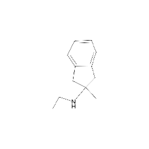 CCNC1(C)Cc2ccccc2C1